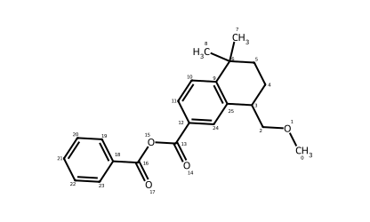 COCC1CCC(C)(C)c2ccc(C(=O)OC(=O)c3ccccc3)cc21